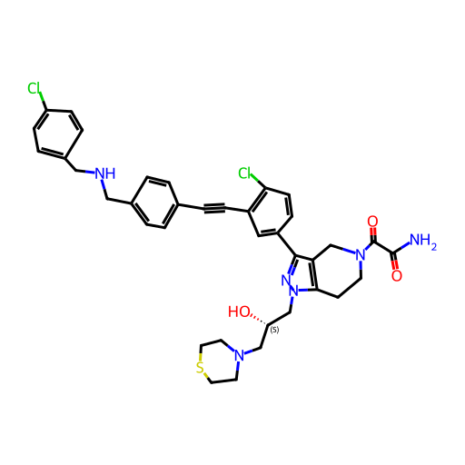 NC(=O)C(=O)N1CCc2c(c(-c3ccc(Cl)c(C#Cc4ccc(CNCc5ccc(Cl)cc5)cc4)c3)nn2C[C@@H](O)CN2CCSCC2)C1